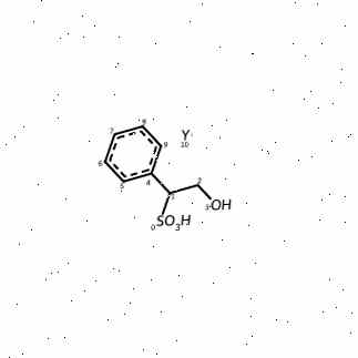 O=S(=O)(O)C(CO)c1ccccc1.[Y]